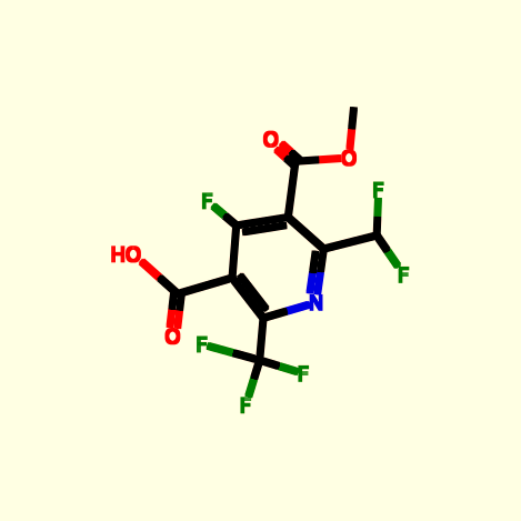 COC(=O)c1c(C(F)F)nc(C(F)(F)F)c(C(=O)O)c1F